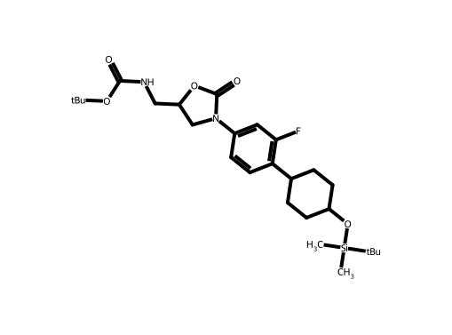 CC(C)(C)OC(=O)NCC1CN(c2ccc(C3CCC(O[Si](C)(C)C(C)(C)C)CC3)c(F)c2)C(=O)O1